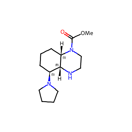 COC(=O)N1CCN[C@@H]2[C@@H](N3CCCC3)CCC[C@@H]21